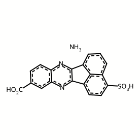 N.O=C(O)c1ccc2nc3c(nc2c1)-c1ccc(S(=O)(=O)O)c2cccc-3c12